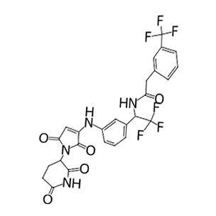 O=C1CCC(N2C(=O)C=C(Nc3cccc(C(NC(=O)Cc4cccc(C(F)(F)F)c4)C(F)(F)F)c3)C2=O)C(=O)N1